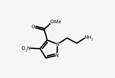 COC(=O)c1c([N+](=O)[O-])cnn1CCN